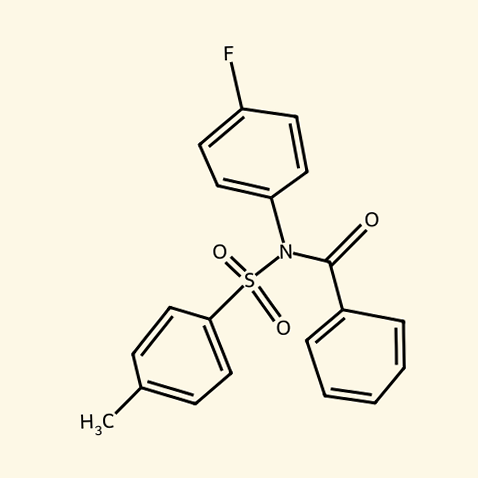 Cc1ccc(S(=O)(=O)N(C(=O)c2ccccc2)c2ccc(F)cc2)cc1